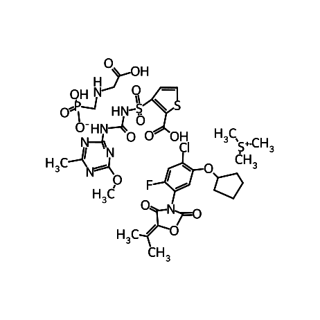 CC(C)=C1OC(=O)N(c2cc(OC3CCCC3)c(Cl)cc2F)C1=O.COc1nc(C)nc(NC(=O)NS(=O)(=O)c2ccsc2C(=O)O)n1.C[S+](C)C.O=C(O)CNCP(=O)([O-])O